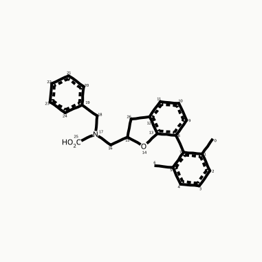 Cc1cccc(C)c1-c1cccc2c1OC(CN(Cc1ccccc1)C(=O)O)C2